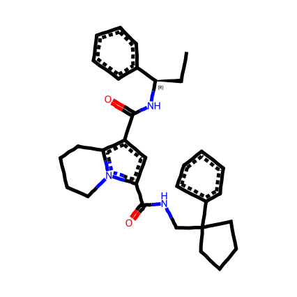 CC[C@@H](NC(=O)c1cc(C(=O)NCC2(c3ccccc3)CCCC2)n2c1CCCC2)c1ccccc1